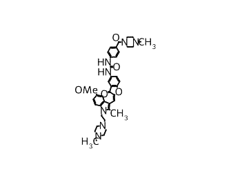 COc1ccc2c(c1)c(C=C1Oc3ccc(NC(=O)Nc4ccc(C(=O)N5CCN(C)CC5)cc4)cc3C1=O)c(C)n2CCN1CCN(C)CC1